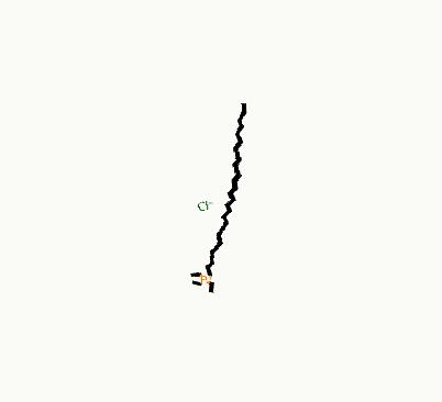 CCCCCCCCCCCCCCCCCCCCCCCC[P+](CC)(CC)CC.[Cl-]